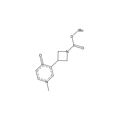 Cn1ccc(=O)c(C2CN(C(=O)OC(C)(C)C)C2)c1